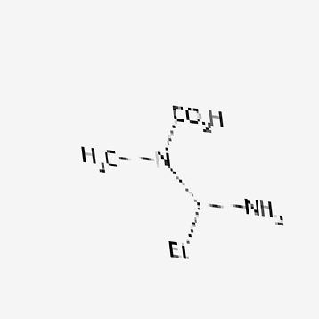 CCC(N)N(C)C(=O)O